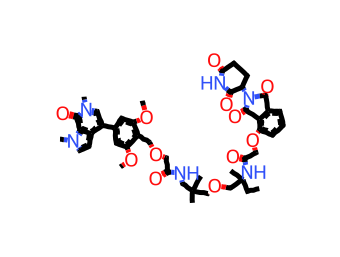 CCC(C)(COCC(C)(C)CNC(=O)COCc1c(OC)cc(-c2cn(C)c(=O)c3c2ccn3C)cc1OC)NC(=O)COc1cccc2c1C(=O)N(C1CCC(=O)NC1=O)C2=O